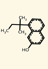 CCC(C)(C)c1cccc2ccc(O)cc12